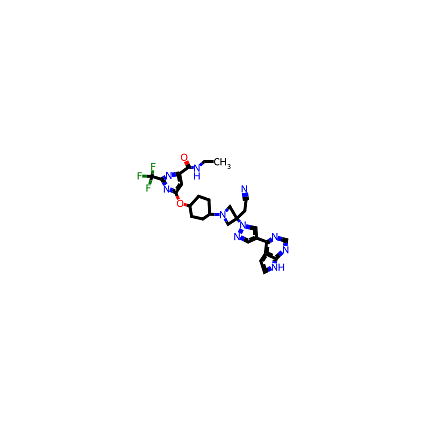 CCNC(=O)c1cc(OC2CCC(N3CC(CC#N)(n4cc(-c5ncnc6[nH]ccc56)cn4)C3)CC2)nc(C(F)(F)F)n1